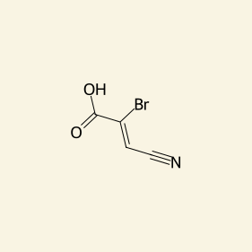 N#CC=C(Br)C(=O)O